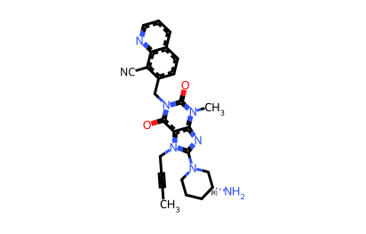 CC#CCn1c(N2CCC[C@@H](N)C2)nc2c1c(=O)n(Cc1ccc3cccnc3c1C#N)c(=O)n2C